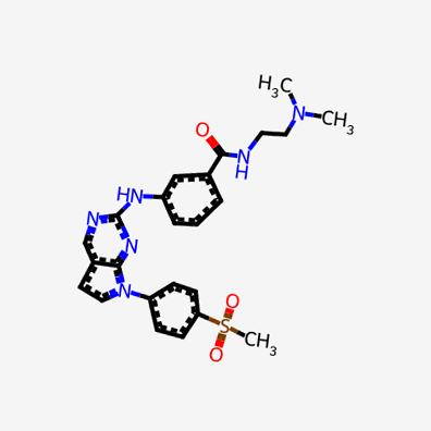 CN(C)CCNC(=O)c1cccc(Nc2ncc3ccn(-c4ccc(S(C)(=O)=O)cc4)c3n2)c1